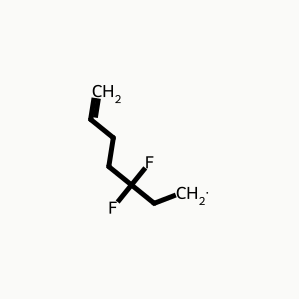 [CH2]CC(F)(F)CCC=C